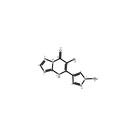 CC(C)(C)n1cc(-c2[nH]c3ncnn3c(=O)c2Br)cn1